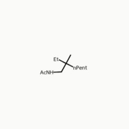 CCCCCC(C)(CC)CNC(C)=O